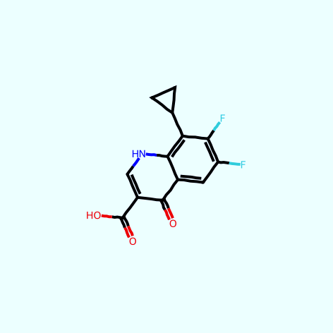 O=C(O)c1c[nH]c2c(C3CC3)c(F)c(F)cc2c1=O